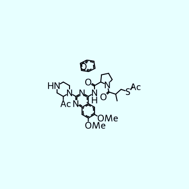 COc1cc2nc(N3CCNCC3C(C)=O)nc(NC(=O)C3CCCN3C(=O)C(C)CSC(C)=O)c2cc1OC.c1cc2ccc1o2